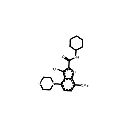 COc1ccc(N2CCOCC2)c2c(C)c(C(=O)NC3CCCCC3)oc12